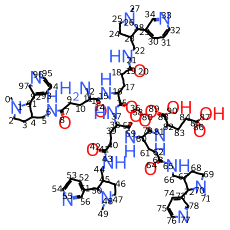 CN1CCC(CNC(=O)CCC(N)C(=O)NC(CCC(=O)NCC2CCN(C)C2c2cccnc2)C(=O)NC(CCC(=O)NCC2CCN(C)C2c2cccnc2)C(=O)NC(CCC(=O)NCC2CCN(C)C2c2cccnc2)C(=O)NC(CCC(=O)O)C(=O)O)C1c1cccnc1